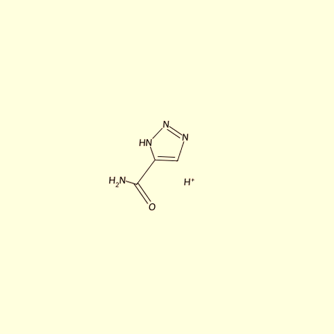 NC(=O)c1cnn[nH]1.[H+]